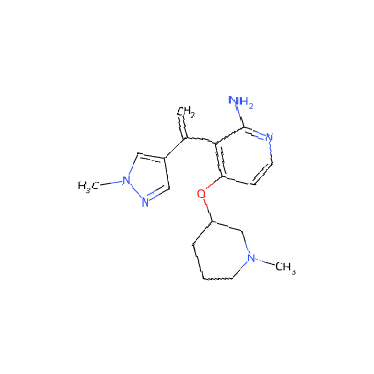 C=C(c1cnn(C)c1)c1c(OC2CCCN(C)C2)ccnc1N